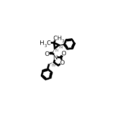 CC1(C)[C@@H](C(=O)N2C(=O)OC[C@@H]2Cc2ccccc2)[C@@H]1c1ccccc1